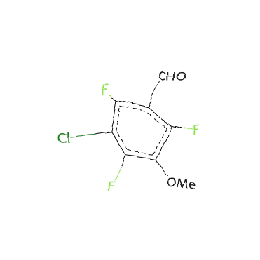 COc1c(F)c(Cl)c(F)c(C=O)c1F